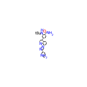 C=C/C=C\C(=C/N)c1cn(-c2cccc3c(-c4ccc(C(N)=O)c(NC(C)(C)C)c4)ccnc23)cn1